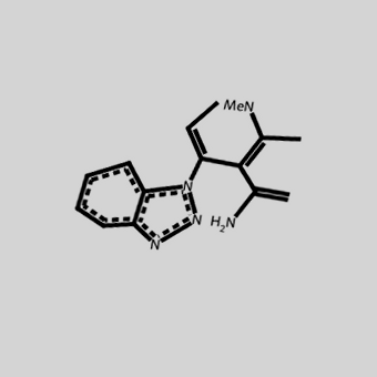 C=C(N)C(=C(\C)NC)/C(=C\C)n1nnc2ccccc21